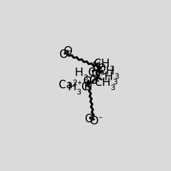 CCC(CC)(O[C@H](C)[C@@H](C)OCC(=O)N(C)CCCCCCCCCCCC(=O)[O-])C(=O)N(C)CCCCCCCCCCCC(=O)[O-].[Ca+2]